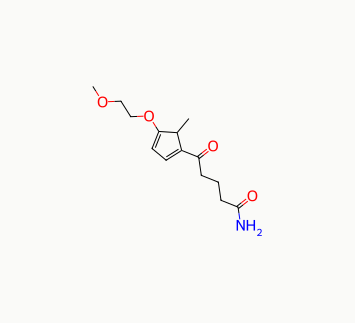 COCCOC1=CC=C(C(=O)CCCC(N)=O)C1C